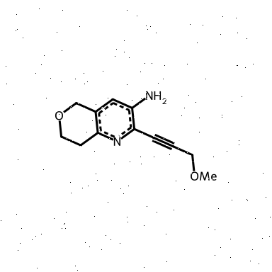 COCC#Cc1nc2c(cc1N)COCC2